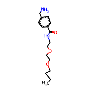 CCCCOCCOCCNC(=O)c1ccc(CN)cc1